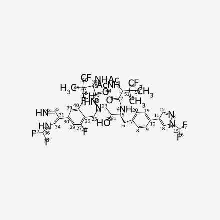 CC(=O)NC(C(=O)N[C@@H](Cc1ccc(-c2cnn(C(F)F)c2)cc1)[C@@H](O)CN(Cc1c(F)cc(/C(C=N)=C/NC(F)F)cc1F)NC(=O)[C@@H](NC(C)=O)C(C)(C)C(F)(F)F)C(C)(C)C(F)(F)F